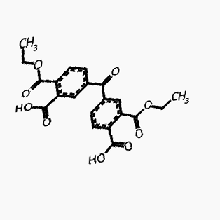 CCOC(=O)c1ccc(C(=O)c2ccc(C(=O)O)c(C(=O)OCC)c2)cc1C(=O)O